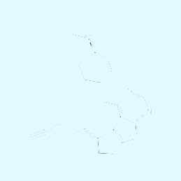 C#CCO/C=C1\CCc2sc3ncnc(O[C@H]4CC[C@H](N(C)C)CC4)c3c21